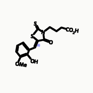 COc1cccc(/C=C2\SC(=S)N(CCCC(=O)O)C2=O)c1O